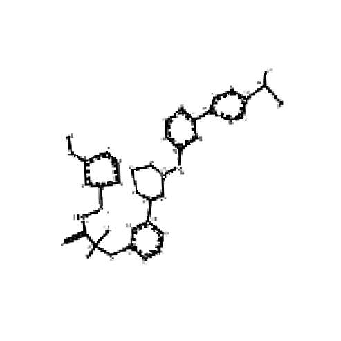 C=C(NSc1cccc(CC)c1)C(C)(C)Cc1cccc(C2CCCN(Sc3cccc(-c4ccc(C(C)C)cc4)c3)C2)c1